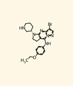 CCOc1ccc(Nc2c3c(nc4c(Br)cnn24)N([C@H]2CCCNC2)CC3)cc1